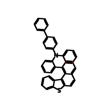 c1ccc(-c2ccc(N(c3ccccc3)c3ccccc3-c3cccc4ccc5sc6ccccc6c5c34)cc2)cc1